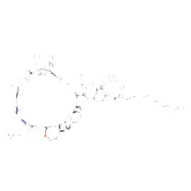 CCOCCOCCOCCNC(=O)O[C@@H]1CC[C@@H](C[C@@H](N)[C@@H]2CC(O)[C@H](C)/C=C(\N)[C@@H](O)[C@@H](O)C(=O)[C@H](C)C[C@H](C)/C=C/C=C/C=C(\C)[C@@H](OC)C[C@@H]3CC[C@@H](C)C(=O)C(O)(O3)C(=O)N3CCCC[C@H]3C(=O)O2)C[C@H]1OC